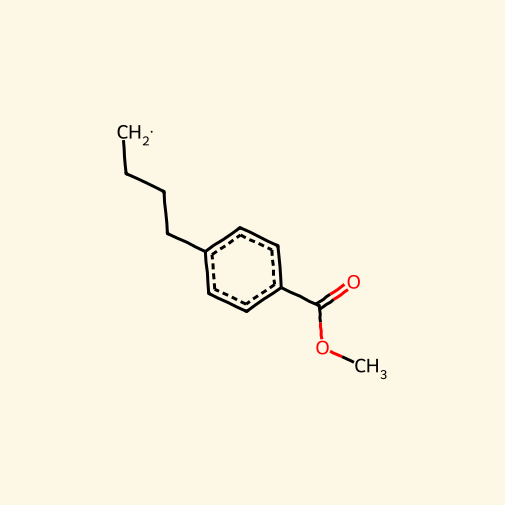 [CH2]CCCc1ccc(C(=O)OC)cc1